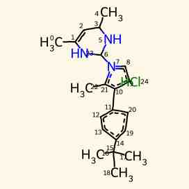 CC1=CC(C)NC(n2ccc(-c3ccc(C(C)(C)C)cc3)c2C)N1.Cl